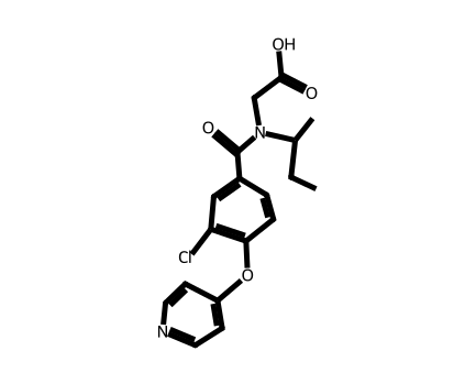 CCC(C)N(CC(=O)O)C(=O)c1ccc(Oc2ccncc2)c(Cl)c1